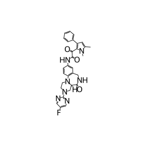 Cc1cc(-c2ccccc2)c(C(=O)C(=O)Nc2ccc3c(c2)CNC(=O)[C@@H]2CN(c4ncc(F)cn4)CCN32)n1C